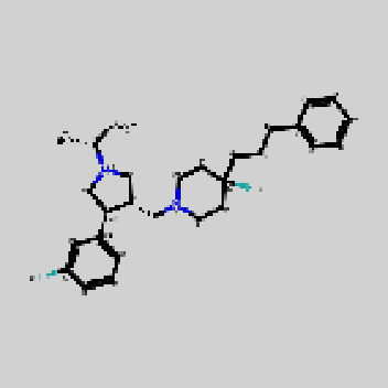 CC(C)[C@H](C(=O)O)N1C[C@H](CN2CCC(F)(CCCc3ccccc3)CC2)[C@@H](c2cccc(F)c2)C1